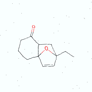 CCC12C=CC3(CCCC(=O)C3C1)O2